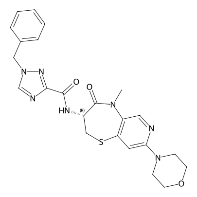 CN1C(=O)[C@@H](NC(=O)c2ncn(Cc3ccccc3)n2)CSc2cc(N3CCOCC3)ncc21